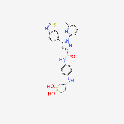 Cc1cccc(-n2nc(C(=O)Nc3ccc(NC4CCS(O)(O)C4)cc3)cc2-c2ccc3ncsc3c2)n1